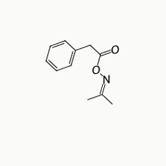 CC(C)=NOC(=O)Cc1ccccc1